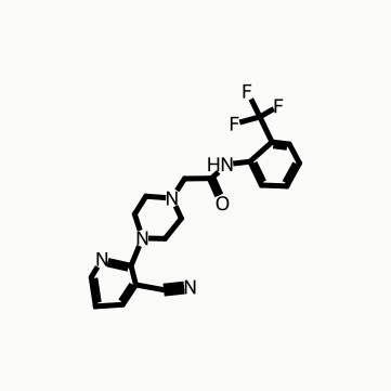 N#Cc1cccnc1N1CCN(CC(=O)Nc2ccccc2C(F)(F)F)CC1